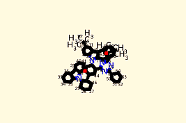 CC(C)(C)c1ccc2c(c1)c1cc(C(C)(C)C)ccc1n2-c1ccc(-c2ccccc2-n2c3ccccc3c3ccccc32)cc1-c1nc(-c2ccccc2)nc(-c2ccccc2)n1